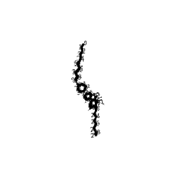 CCCCCCCCCC[C@H]1CC[C@H](C2C=CC(c3ccc(CCCCCCCC)c(F)c3F)=CC2)CC1